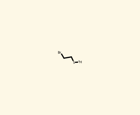 [3H]SCCBr